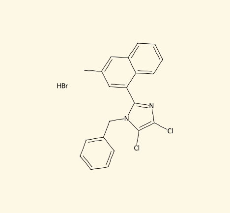 Br.Cc1cc(-c2nc(Cl)c(Cl)n2Cc2ccccc2)c2ccccc2c1